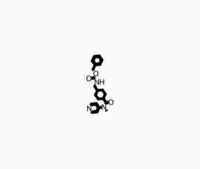 CN(C(=O)C1CCC(CNC(=O)OCc2ccccc2)CC1)c1ccncc1